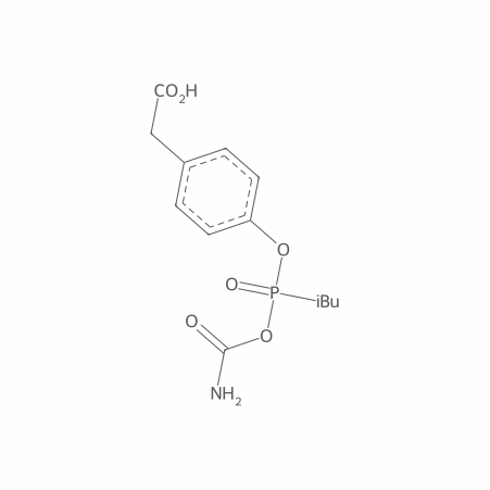 CCC(C)P(=O)(OC(N)=O)Oc1ccc(CC(=O)O)cc1